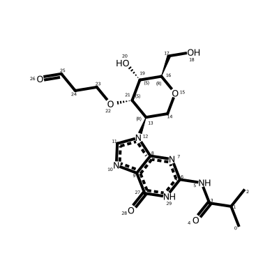 CC(C)C(=O)Nc1nc2c(ncn2[C@@H]2CO[C@H](CO)[C@@H](O)[C@H]2OCCC=O)c(=O)[nH]1